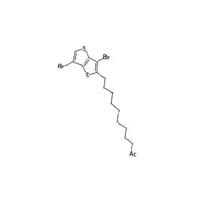 CC(=O)CCCCCCCCCc1sc2c(Br)csc2c1Br